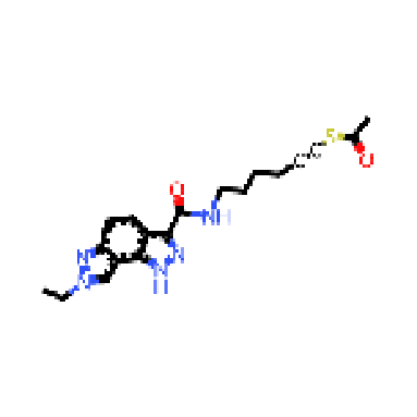 CCn1cc2c(ccc3c(C(=O)NCCCCCCSC(C)=O)n[nH]c32)n1